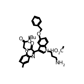 CC(=O)O.Cc1ccc2c(c1)nc(-c1cn(CCCN)c3ccc(OCc4ccccc4)cc13)c(=O)n2CC(=O)OC(C)(C)C